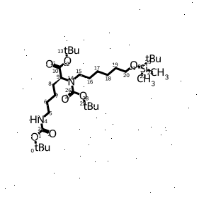 CC(C)(C)OC(=O)NCCCC[C@@H](C(=O)OC(C)(C)C)N(CCCCCCO[Si](C)(C)C(C)(C)C)C(=O)OC(C)(C)C